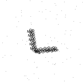 [NH4+].[O]=[Mo](=[O])([O-])[O-].[O]=[Mo](=[O])([O-])[O-].[O]=[Mo](=[O])([O-])[O-].[O]=[Mo](=[O])([O-])[O-].[O]=[Mo](=[O])([O-])[O-].[O]=[Mo](=[O])([O-])[O-].[O]=[Mo](=[O])([O-])[O-].[O]=[Mo](=[O])([O-])[O-].[O]=[Mo](=[O])([O-])[O-].[O]=[Mo](=[O])([O-])[O-]